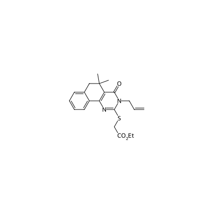 C=CCn1c(SCC(=O)OCC)nc2c(c1=O)C(C)(C)Cc1ccccc1-2